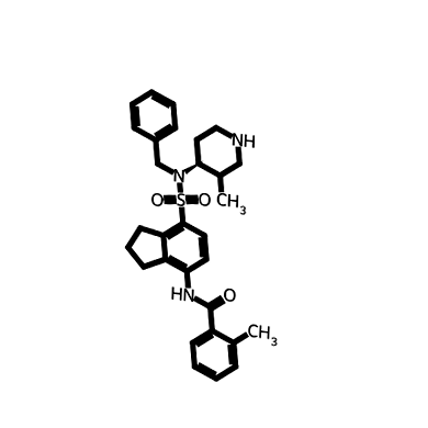 Cc1ccccc1C(=O)Nc1ccc(S(=O)(=O)N(Cc2ccccc2)[C@H]2CCNCC2C)c2c1CCC2